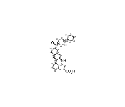 O=C(O)CCCNc1nc2cc(C(=O)N3CCN(c4ccccc4)CC3)ccc2nc1-c1ccccc1